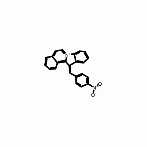 O=[N+]([O-])c1ccc(C=C2c3ccccc3-[n+]3ccc4ccccc4c32)cc1